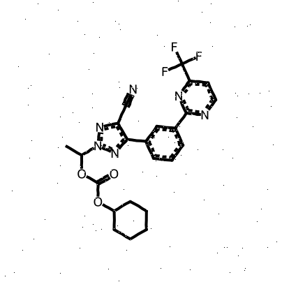 CC(OC(=O)OC1CCCCC1)n1nc(C#N)c(-c2cccc(-c3nccc(C(F)(F)F)n3)c2)n1